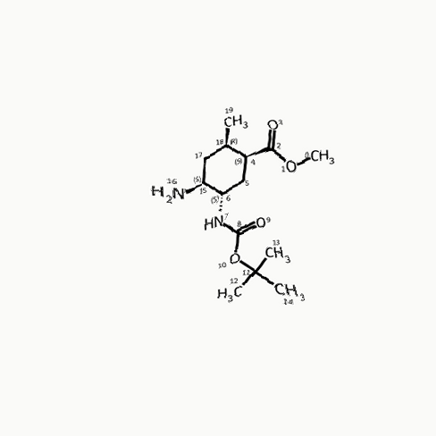 COC(=O)[C@H]1C[C@H](NC(=O)OC(C)(C)C)[C@@H](N)C[C@H]1C